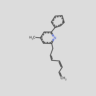 C=C/C=C\C=C/Cc1cc(C)cc(-c2ccccc2)n1